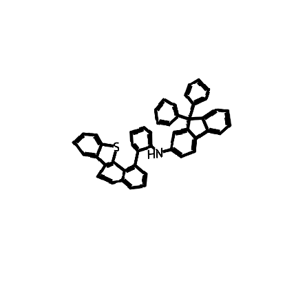 c1ccc(C2(c3ccccc3)c3ccccc3-c3ccc(Nc4ccccc4-c4cccc5ccc6c7ccccc7sc6c45)cc32)cc1